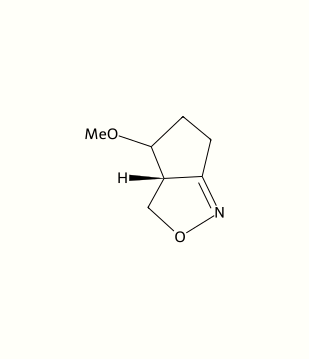 COC1CCC2=NOC[C@@H]21